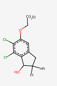 CCCC1(CC)Cc2cc(OCC(=O)OCC)c(Cl)c(Cl)c2C1O